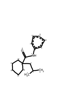 CC(C)CC1(C(=O)Nc2ccncc2)CCCCC1